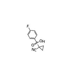 N#CC1(P(=O)(O)c2ccc(F)cc2)CC1